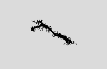 CCCN(CCC)C(=O)C1=Cc2ccc(C(=O)Nc3ccc(N4CCC(C(=O)NCCNC(=O)OCc5ccc(NC(=O)C(CCCNC(N)=O)NC(=O)CNC(=O)CCCCCN6C(=O)C=CC6=O)cc5)CC4)nc3)cc2N=C(N)C1